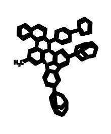 Cc1cc2c3c(c1)-n1c4ccc(C56CC7CC(CC(C7)C5)C6)cc4c4cc(C56CC7CC(CC(C7)C5)C6)cc(c41)B3N(c1ccc(-c3ccccc3)cc1)c1ccc3ccccc3c1-2